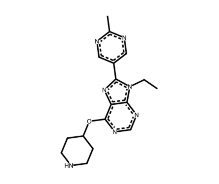 CCn1c(-c2cnc(C)nc2)nc2c(OC3CCNCC3)ncnc21